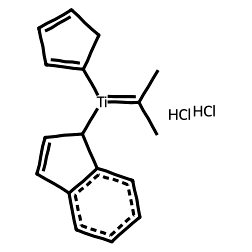 C[C](C)=[Ti]([C]1=CC=CC1)[CH]1C=Cc2ccccc21.Cl.Cl